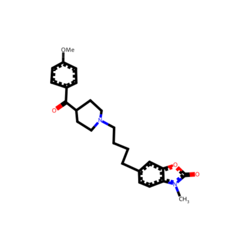 COc1ccc(C(=O)C2CCN(CCCCc3ccc4c(c3)oc(=O)n4C)CC2)cc1